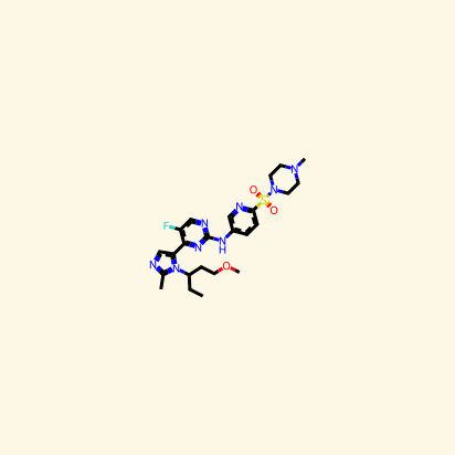 CCC(CCOC)n1c(-c2nc(Nc3ccc(S(=O)(=O)N4CCN(C)CC4)nc3)ncc2F)cnc1C